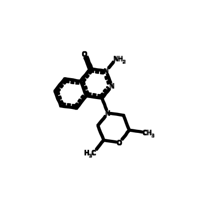 CC1CN(c2nn(N)c(=O)c3ccccc23)CC(C)O1